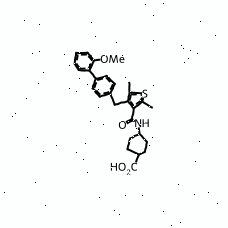 COc1ccccc1-c1ccc(Cc2c(C)sc(C)c2C(=O)NC2CCC(C(=O)O)CC2)cc1